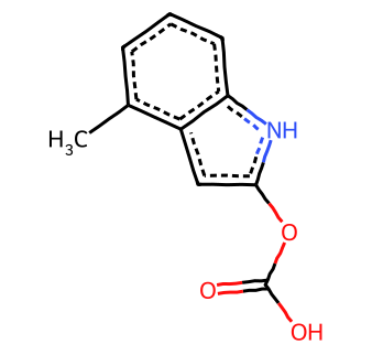 Cc1cccc2[nH]c(OC(=O)O)cc12